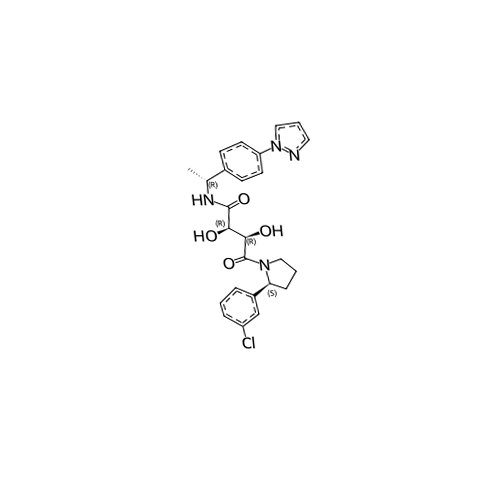 C[C@@H](NC(=O)[C@H](O)[C@@H](O)C(=O)N1CCC[C@H]1c1cccc(Cl)c1)c1ccc(-n2cccn2)cc1